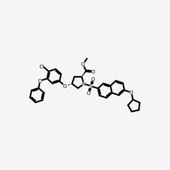 COC(=O)[C@@H]1C[C@@H](Oc2ccc(Cl)c(Oc3ccccc3)c2)CN1S(=O)(=O)c1ccc2cc(OC3CCCC3)ccc2c1